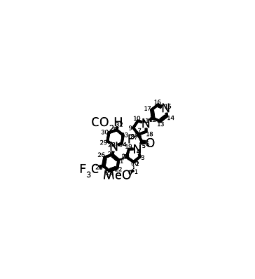 COC[C@H]1CN(C(=O)[C@@]2(F)CCN(c3ccncc3)C2)C[C@@H]1c1ccc(C(F)(F)F)cc1N1CCC(C(=O)O)CC1